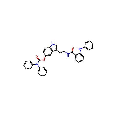 O=C(NCCc1c[nH]c2ccc(OC(=O)N(c3ccccc3)c3ccccc3)cc12)c1ccccc1Nc1ccccc1